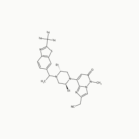 [2H]C([2H])([2H])c1nc2ccc(C(C)N3C[C@H](CC)N(c4cc(=O)n(C)n5cc(CC#N)nc45)C[C@H]3CC)cc2s1